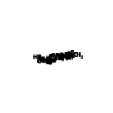 CC(F)(F)c1ccc(-c2ccc(CN3CCc4ccc(OCC(=O)O)cc4CC3)o2)cc1